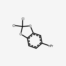 CCCc1ccc2c(c1)OC(Cl)(Cl)O2